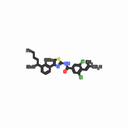 COc1c(-c2csc(NC(=O)c3cc(Cl)c(C=C(C)C(=O)O)c(Cl)c3)n2)cccc1C(CCCC(C)C)OC